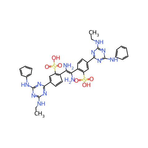 CCNc1nc(Nc2ccccc2)nc(-c2ccc(C(N)=C(N)c3ccc(-c4nc(NCC)nc(Nc5ccccc5)n4)cc3S(=O)(=O)O)c(S(=O)(=O)O)c2)n1